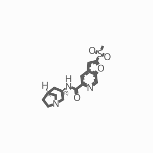 CS(=O)(=O)c1cc2cc(C(=O)N[C@@H]3C[C@@H]4CCN(C4)C3)ncc2o1